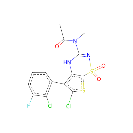 CC(=O)N(C)C1=NS(=O)(=O)c2sc(Cl)c(-c3cccc(F)c3Cl)c2N1